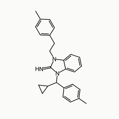 Cc1ccc(CCn2c(=N)n(C(c3ccc(C)cc3)C3CC3)c3ccccc32)cc1